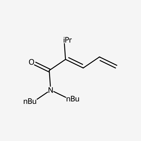 C=CC=C(C(=O)N(CCCC)CCCC)C(C)C